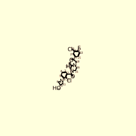 O=C(c1cccc(N2CC(O)C2)c1Cl)N1CCN2C[C@@H](c3ccc(F)c(Cl)c3)OC[C@@H]2C1